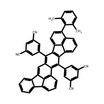 Cc1cccc(C)c1-c1ccc2c3c(-c4cc(C#N)cc(C#N)c4)c4cc5c6ccccc6c6cccc(c4c(-c4cc(C#N)cc(C#N)c4)c3c3cccc1c23)c65